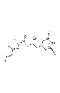 C/C=C/C(C)=C/[C@H](C)C(=O)C[C@H](O)CC1CC(=O)NC(=O)C1